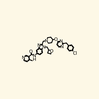 Cc1ccncc1C(=O)Nc1ccc2c(c1)nc(CN1CCC(Oc3ccnc(Cc4ccc(Cl)cc4)n3)CC1)n2CC1CCO1